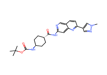 Cn1cc(-c2ccc3cnc(NC(=O)[C@H]4CC[C@H](NC(=O)OC(C)(C)C)CC4)cc3n2)cn1